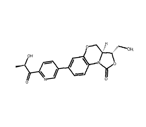 C[C@@H](O)C(=O)c1ccc(-c2ccc3c(c2)OC[C@H]2[C@H](CO)OC(=O)N32)cn1